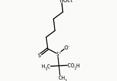 CCCCCCCCCCCCC(=S)[S+]([O-])C(C)(C)C(=O)O